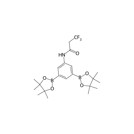 CC1(C)OB(c2cc(NC(=O)CC(F)(F)F)cc(B3OC(C)(C)C(C)(C)O3)c2)OC1(C)C